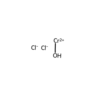 [Cl-].[Cl-].[OH][Cr+2]